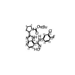 CC(C)(C)OC(=O)N1CCCC1c1nc2nccc(/C(=N\O)Nc3ccc(F)c(Cl)c3)c2[nH]1